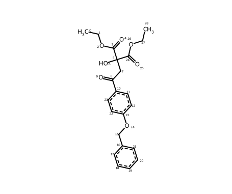 CCOC(=O)C(O)(CC(=O)c1ccc(OCc2ccccc2)cc1)C(=O)OCC